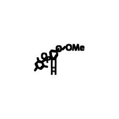 COCCOc1ccc(PC(=O)c2c(C)cc(C)cc2C)cc1.[LiH]